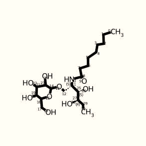 CCCCCCCCC(=O)N[C@@H](COC1OC(CO)C(O)C(O)C1O)[C@H](O)[C@H](O)CC